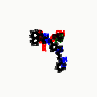 O=C(NCC(NS(=O)(=O)c1cccc2ccccc12)C(=O)O)c1ccc2c(cnn2CCCNc2ccccn2)c1.O=C(O)C(F)(F)F